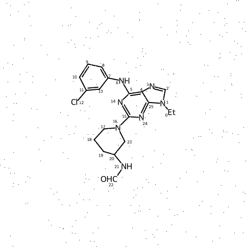 CCn1cnc2c(Nc3cccc(Cl)c3)nc(N3CCCC(NC=O)C3)nc21